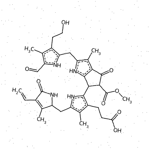 C=CC1=C(C)C(Cc2[nH]c(C3c4[nH]c(Cc5[nH]c(C=O)c(C)c5CCO)c(C)c4C(=O)C3C(=O)OC)c(CCC(=O)O)c2C)NC1=O